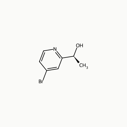 C[C@H](O)c1cc(Br)ccn1